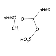 CCCCCCC(=O)OS(=O)(=O)O.CCCCCCCC